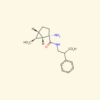 N[C@@]1(C(=O)NCC(C(=O)O)c2ccccc2)CC[C@H]2[C@H](C(=O)O)[C@H]21